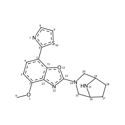 COc1ccc(-c2nccs2)c2oc(N3CC4CCC(C3)N4)nc12